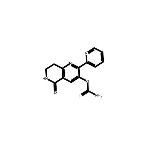 NC(=O)Oc1cc2c(nc1-c1ccccn1)CCNC2=O